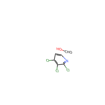 Clc1ccnc(Cl)c1Cl.O=CO